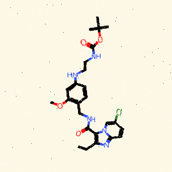 CCc1nc2ccc(Cl)cn2c1C(=O)NCc1ccc(NCCNC(=O)OC(C)(C)C)cc1OC